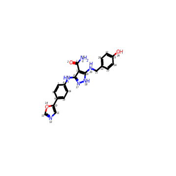 NC(=O)c1c(Nc2ccc(-c3cnco3)cc2)n[nH]c1NCc1ccc(O)cc1